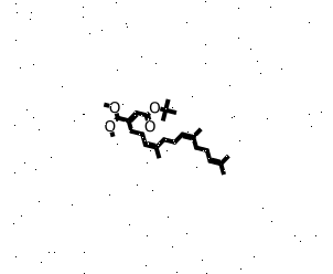 COC(OC)C(=CC(=O)OC(C)(C)C)CCC=C(C)CCC=C(C)CCC=C(C)C